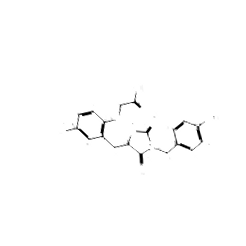 O=C(O)COc1ccc(Br)cc1CC1SC(=O)N(Cc2ccc(Cl)cc2)C1=O